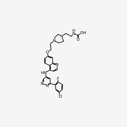 O=C(O)NCCN1CCN(CCOc2ccc3c(Nc4cnnc(-c5cc(Cl)ccc5F)c4)ccnc3c2)CC1